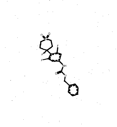 O=C(Nc1cc(F)c(C2(F)CCS(=O)(=O)CC2)c(F)c1)OCc1ccccc1